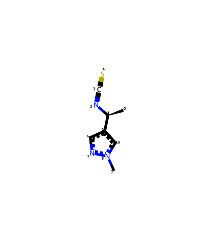 C[C@H](N=C=S)c1cnn(C)c1